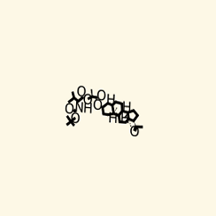 CC(=O)[C@H]1CC[C@H]2[C@@H]3CC[C@H]4C[C@H](OC(=O)[C@H](C)OC(=O)[C@@H](NC(=O)OC(C)(C)C)C(C)C)CC[C@]4(C)[C@H]3CC[C@]12C